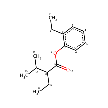 CCc1ccccc1OC(=O)C(CC)C(C)C